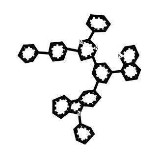 c1ccc(-c2ccc(-c3cc(-c4cc(-c5ccc6c(c5)c5ccccc5n6-c5ccccc5)cc(-c5cccc6cccnc56)c4)nc(-c4ccccc4)n3)cc2)cc1